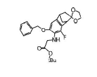 CC(C)(C)OC(=O)CNc1c(OCc2ccccc2)cc2c(c1F)C1CC2CC12OCCO2